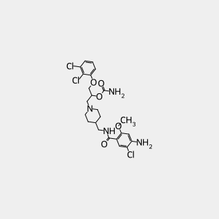 COc1cc(N)c(Cl)cc1C(=O)NCC1CCN(CC(COc2cccc(Cl)c2Cl)OC(N)=O)CC1